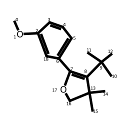 COc1cccc(C2=C(C(C)(C)C)C(C)(C)CO2)c1